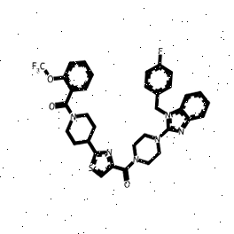 O=C(c1csc(C2CCN(C(=O)c3ccccc3OC(F)(F)F)CC2)n1)N1CCN(c2nc3ccccc3n2Cc2ccc(F)cc2)CC1